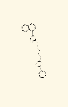 Fc1ccc(-c2noc(CCCCSc3nnc(-c4cccc5ccccc45)o3)n2)cc1